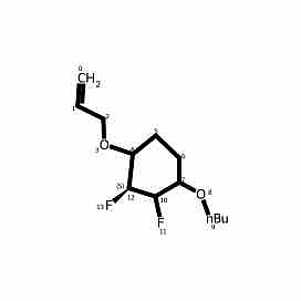 C=CCOC1CCC(OCCCC)C(F)[C@H]1F